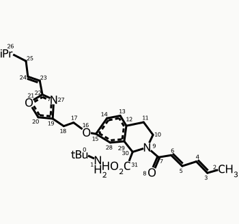 CC(C)(C)N.CC=CC=CC(=O)N1CCc2ccc(OCCc3coc(/C=C/CC(C)C)n3)cc2C1C(=O)O